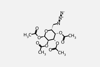 CC(=O)O[C@H]1O[C@H](CN=[N+]=[N-])[C@H](OC(C)=O)[C@H](OC(C)=O)[C@H]1OC(C)=O